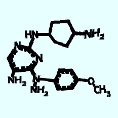 COc1ccc(N(N)c2nc(NC3CCC(N)CC3)ncc2N)cc1